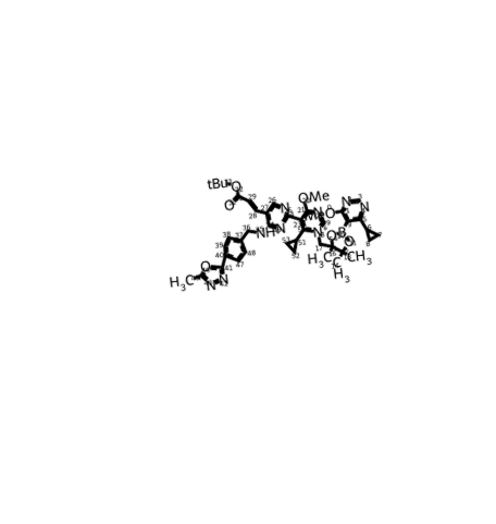 COc1ncnc(C2CC2)c1B1OC(C)(C)C(C)(C[n+]2cnc(OC)c(-c3ncc(/C=C/C(=O)OC(C)(C)C)c(NCc4ccc(-c5nnc(C)o5)cc4)n3)c2C2CC2)O1